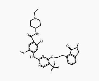 CCN1CCC(NC(=O)c2cc(OC)c(Nc3ncc(C(F)(F)F)c(OCCc4cccc5c4C(=O)N(C)C5)n3)cc2Cl)CC1